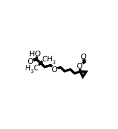 CC(C)(CCOCCCCC1(OC=O)CC1)C(=O)O